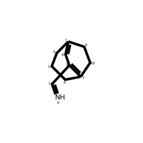 N=CC1=C2CCCC(=C1)CC2